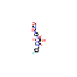 O=C(CN1CCOCC1)N1CCC(n2c(=O)c(O)c3n(c2=O)CCN(Cc2ccc(F)cc2)C3=O)CC1